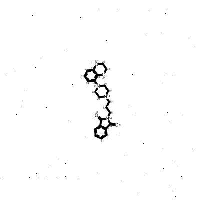 O=C1c2ccccc2C(=O)N1CCCN1CCN(c2cccc3c2OCCO3)CC1